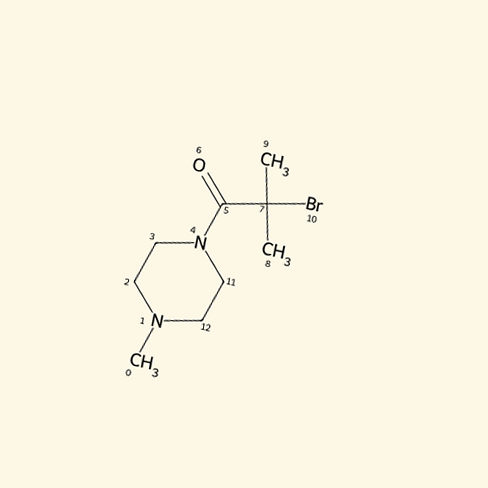 CN1CCN(C(=O)C(C)(C)Br)CC1